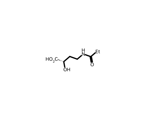 CCC(=O)NCC[C@H](O)C(=O)O